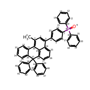 Cc1cc(-c2ccc(P(=O)(c3ccccc3)c3ccccc3)cc2)c2cccc3c2c1-c1ccccc1C3(c1ccccc1)c1ccccc1